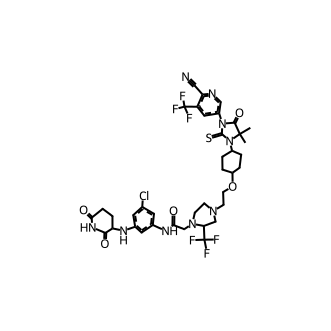 CC1(C)C(=O)N(c2cnc(C#N)c(C(F)(F)F)c2)C(=S)N1C1CCC(OCCN2CCN(CC(=O)Nc3cc(Cl)cc(NC4CCC(=O)NC4=O)c3)C(C(F)(F)F)C2)CC1